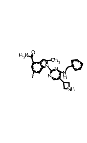 Cc1cc2c(C(N)=O)cc(F)cc2n1-c1ncc(C2CNC2)c(NCc2ccccc2)n1